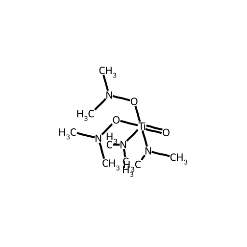 CN(C)[O][Ti](=[O])([O]N(C)C)([N](C)C)[N](C)C